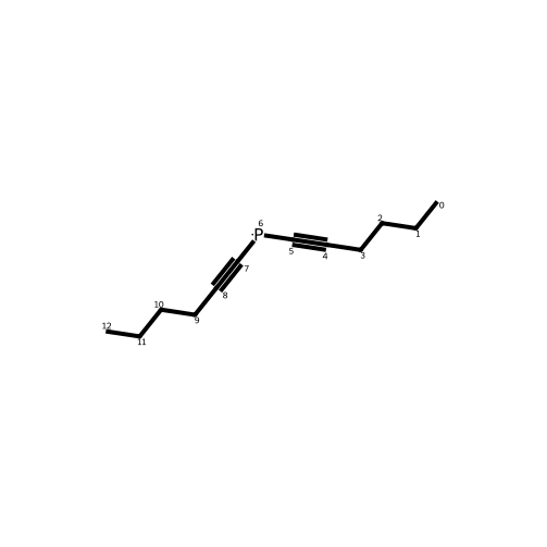 CCCCC#C[P]C#CCCCC